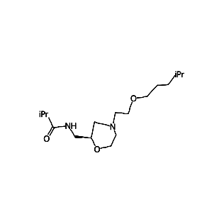 CC(C)CCCOCCN1CCO[C@@H](CNC(=O)C(C)C)C1